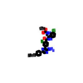 CO[C@H]1CC[C@H](c2cnc(N)c(-c3ccc(C(=O)N[C@H](CNC(=O)OC(C)(C)C)c4cccc(Cl)c4)c(F)c3)n2)CC1